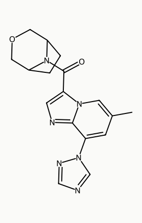 Cc1cc(-n2cncn2)c2ncc(C(=O)N3C4CCC3COC4)n2c1